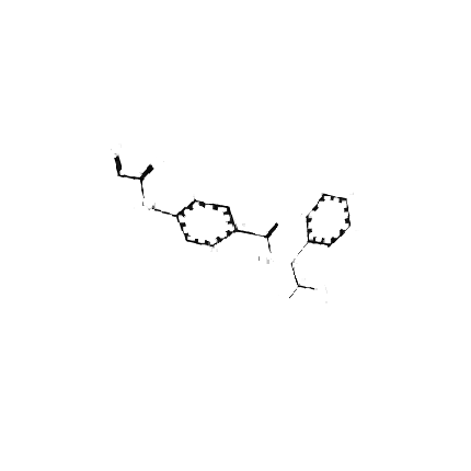 C=CC(=O)Nc1ccc(C(=O)N[C@H](c2ccccc2)C(C)C)cc1